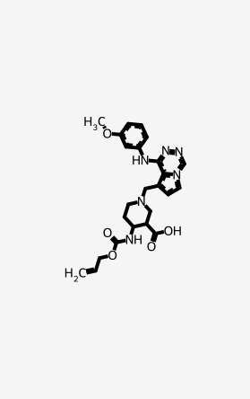 C=CCOC(=O)NC1CCN(Cc2ccn3cnnc(Nc4cccc(OC)c4)c23)CC1C(=O)O